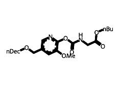 CCCCCCCCCCOCc1cnc(OC(=O)NCC(=O)OCCCC)c(OC)c1